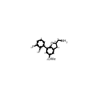 COc1cc2c(c(-c3cccc(F)c3F)c1)OC(CN)C2